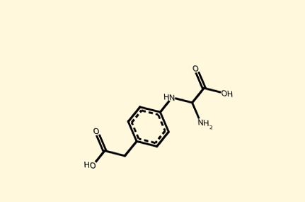 NC(Nc1ccc(CC(=O)O)cc1)C(=O)O